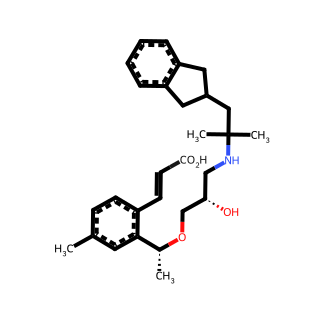 Cc1ccc(/C=C/C(=O)O)c([C@@H](C)OC[C@@H](O)CNC(C)(C)CC2Cc3ccccc3C2)c1